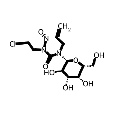 C=CCN(C(=O)N(CCCl)N=O)[C@@H]1O[C@H](CO)[C@H](O)[C@H](O)[C@H]1O